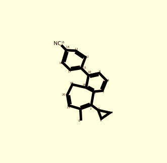 CC1=C(C2CC2)c2cccc(-c3ccc(C#N)cc3)c2CC=C1